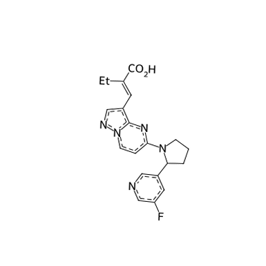 CC/C(=C\c1cnn2ccc(N3CCCC3c3cncc(F)c3)nc12)C(=O)O